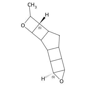 CC1OC2C3C4C(CC3[C@@H]12)C1C2O[C@H]2C41